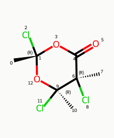 C[C@@]1(Cl)OC(=O)[C@@](C)(Cl)[C@@](C)(Cl)O1